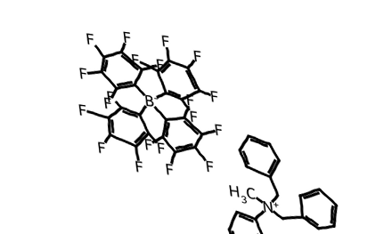 C[N+](Cc1ccccc1)(Cc1ccccc1)c1ccccc1.Fc1c(F)c(F)c([B-](c2c(F)c(F)c(F)c(F)c2F)(c2c(F)c(F)c(F)c(F)c2F)c2c(F)c(F)c(F)c(F)c2F)c(F)c1F